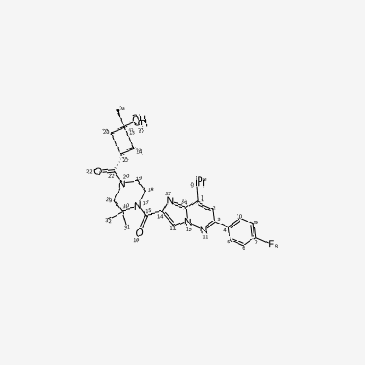 CC(C)c1cc(-c2ccc(F)cc2)nn2cc(C(=O)N3CCN(C(=O)[C@H]4C[C@@](C)(O)C4)CC3(C)C)nc12